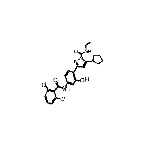 CCNC(=O)n1nc(-c2ccc(NC(=O)c3c(Cl)cccc3Cl)cc2O)cc1C1CCCC1